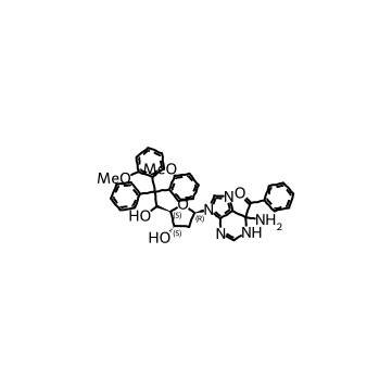 COc1ccccc1C(c1ccccc1)(c1ccccc1OC)C(O)[C@H]1O[C@@H](n2cnc3c2N=CNC3(N)C(=O)c2ccccc2)C[C@@H]1O